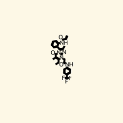 C=CC(=O)Nc1ccccc1-c1c(C)nc2n(CC(=O)Nc3ccc(C(F)(F)F)cc3)c(CC)c(C)c(=O)n12